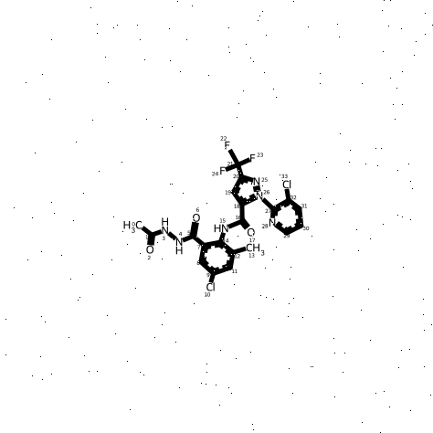 CC(=O)NNC(=O)c1cc(Cl)cc(C)c1NC(=O)c1cc(C(F)(F)F)nn1-c1ncccc1Cl